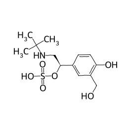 CC(C)(C)NC[C@H](OS(=O)(=O)O)c1ccc(O)c(CO)c1